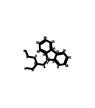 CCCC(CC)Cn1c2ccccc2c2ccccc21